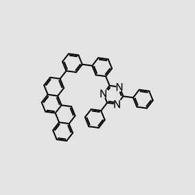 c1ccc(-c2nc(-c3ccccc3)nc(-c3cccc(-c4cccc(-c5ccc6ccc7c8ccccc8ccc7c6c5)c4)c3)n2)cc1